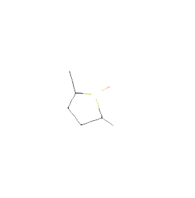 CC1CCC(C)[S+]1[O-]